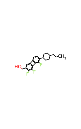 CCCC1CCC(c2ccc3c(c2F)-c2c-3cc(CO)c(F)c2F)CC1